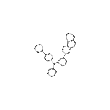 c1ccc(-c2ccc(N(c3ccccc3)c3cccc(-c4ccc5c(ccc6ccccc65)c4)c3)cc2)cc1